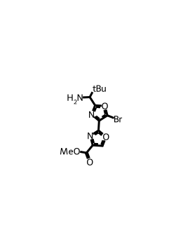 COC(=O)c1coc(-c2nc(C(N)C(C)(C)C)oc2Br)n1